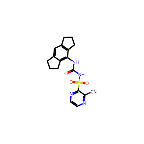 N#Cc1nccnc1S(=O)(=O)NC(=O)Nc1c2c(cc3c1CCC3)CCC2